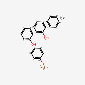 Oc1ccccc1.Oc1ccccc1.S.[Na+].[O-]c1ccccc1.c1ccccc1